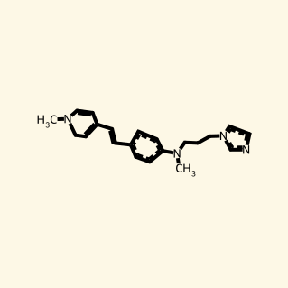 CN1C=CC(/C=C/c2ccc(N(C)CCCn3ccnc3)cc2)=CC1